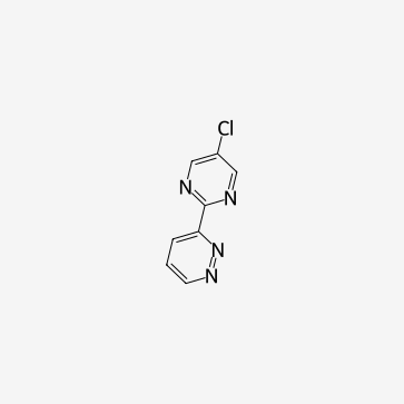 Clc1cnc(-c2cccnn2)nc1